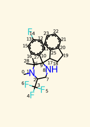 CN1C(C(F)(F)F)CNC(c2ccc(F)cc2)(C2CCc3ccccc32)C1(C)C